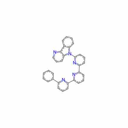 c1ccc(-c2cccc(-c3cccc(-c4cccc(-n5c6ccccc6c6ncccc65)n4)n3)n2)cc1